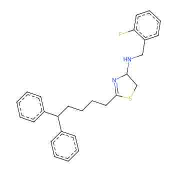 Fc1ccccc1CNC1CSC(CCCCC(c2ccccc2)c2ccccc2)=N1